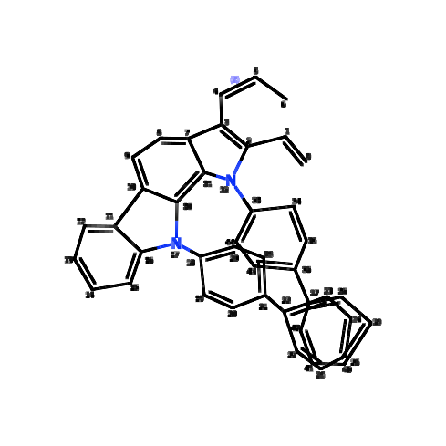 C=Cc1c(/C=C\C)c2ccc3c4ccccc4n(-c4ccc(-c5ccccc5)cc4)c3c2n1-c1ccc(-c2ccccc2)cc1